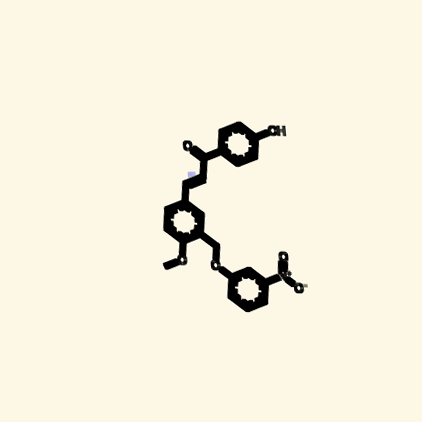 COc1ccc(/C=C/C(=O)c2ccc(O)cc2)cc1COc1cccc([N+](=O)[O-])c1